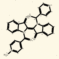 C[n+]1ccc(C(=O)N2/C(=C3\C(=O)c4ccccc4N3C(O)c3ccncc3)C(=O)c3ccccc32)cc1